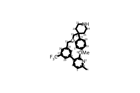 COc1nc(C)ccc1-c1cc(COCC2(c3ccccc3)CCNCC2)cc(C(F)(F)F)c1